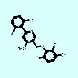 CCc1cccc(CC)c1-c1cc(OC)c(COc2c(F)ccc(C)c2Cl)cn1